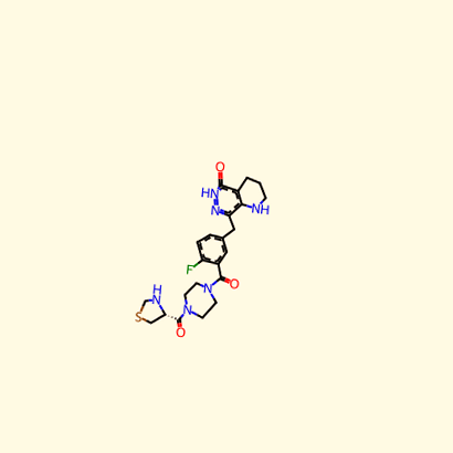 O=C(c1cc(Cc2n[nH]c(=O)c3c2NCCC3)ccc1F)N1CCN(C(=O)[C@@H]2CSCN2)CC1